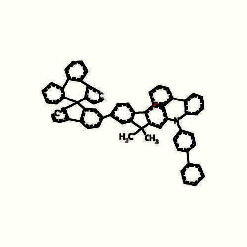 CC1(C)c2cc(-c3ccc4c(c3)C3(c5ccccc5-c5ccccc5-c5ccccc53)c3ccccc3-4)ccc2-c2ccc(N(c3ccc(-c4ccccc4)cc3)c3ccccc3-c3ccccc3)cc21